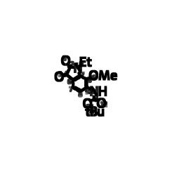 CCN1C(=O)C(=O)c2ccc(NC(=O)OC(C)(C)C)c(OC)c21